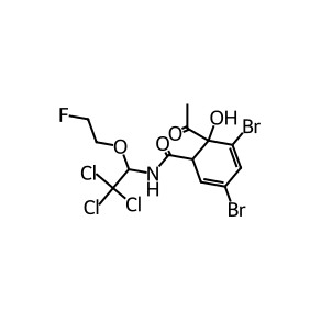 CC(=O)C1(O)C(Br)=CC(Br)=CC1C(=O)NC(OCCF)C(Cl)(Cl)Cl